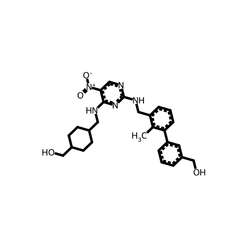 Cc1c(CNc2ncc([N+](=O)[O-])c(NCC3CCC(CO)CC3)n2)cccc1-c1cccc(CO)c1